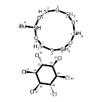 CCC(C)[SiH]1O[SiH2]O[SiH2]O[SiH2]O[SiH2]O[SiH2]O1.Cl[C@H]1[C@H](Cl)[C@@H](Cl)[C@@H](Cl)[C@H](Cl)[C@H]1Cl